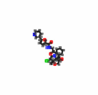 O=C(NCC(=O)C1(N2C[C@H](Cl)[C@H]3OCC(=O)[C@H]32)CCCCC1)c1ccc(-c2cccnc2)o1